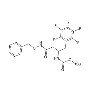 CC(C)(C)OC(=O)NC(CC(=O)NOCc1ccccc1)Cc1c(F)c(F)c(F)c(F)c1F